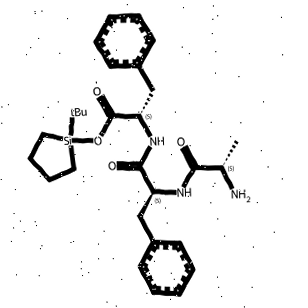 C[C@H](N)C(=O)N[C@@H](Cc1ccccc1)C(=O)N[C@@H](Cc1ccccc1)C(=O)O[Si]1(C(C)(C)C)CCCC1